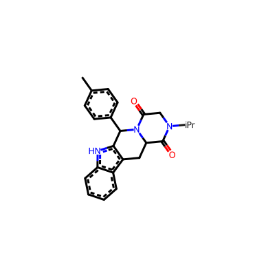 Cc1ccc(C2c3[nH]c4ccccc4c3CC3C(=O)N(C(C)C)CC(=O)N32)cc1